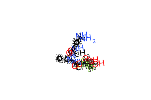 CC(NC(=O)[C@H]1C[C@@H](c2ccccc2)CCN1CCNS(C)(=O)=O)C(=O)NCc1ccc(C(=N)N)cc1.O=C(O)C(F)(F)F.O=C(O)C(F)(F)F